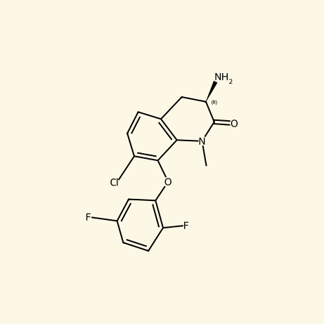 CN1C(=O)[C@H](N)Cc2ccc(Cl)c(Oc3cc(F)ccc3F)c21